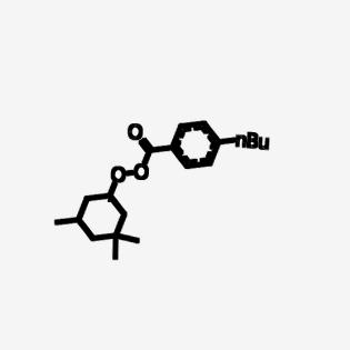 CCCCc1ccc(C(=O)OO[C]2CC(C)CC(C)(C)C2)cc1